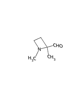 CN1CCC1(C)C=O